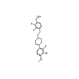 COc1ccc(C2CCC(CCc3ccc(CO)c(F)c3F)CC2)c(F)c1F